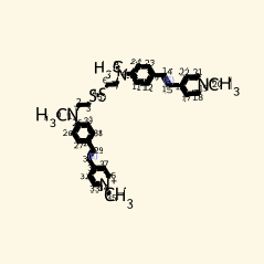 CN(CCSSCCN(C)c1ccc(/C=C/c2cc[n+](C)cc2)cc1)c1ccc(/C=C/c2cc[n+](C)cc2)cc1